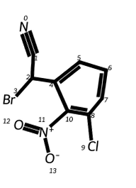 N#CC(Br)c1cccc(Cl)c1[N+](=O)[O-]